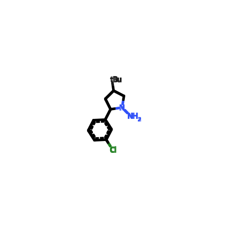 CC(C)(C)C1CC(c2cccc(Cl)c2)N(N)C1